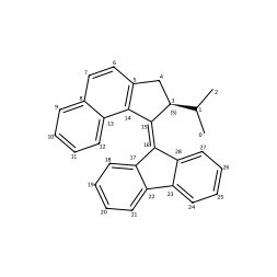 CC(C)[C@@H]1Cc2ccc3ccccc3c2C1=C1c2ccccc2-c2ccccc21